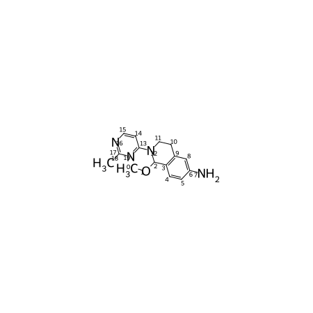 COC1c2ccc(N)cc2CCN1c1ccnc(C)n1